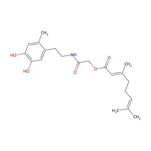 CC(C)=CCC/C(C)=C/C(=O)OCC(=O)NCCc1cc(O)c(O)cc1C